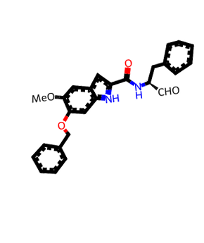 COc1cc2cc(C(=O)N[C@H](C=O)Cc3ccccc3)[nH]c2cc1OCc1ccccc1